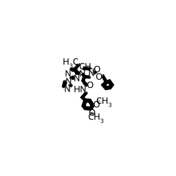 COc1ccc(CCNC(=O)CC2CN(C(=O)OCc3ccccc3)CCN2c2nc(-n3ccnc3)ncc2C(C)C)cc1OC